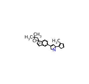 CC1=C(C2=NCC(c3ccc4c(c3)C=CC4CC(C)(C)C)=C2)CC=C1